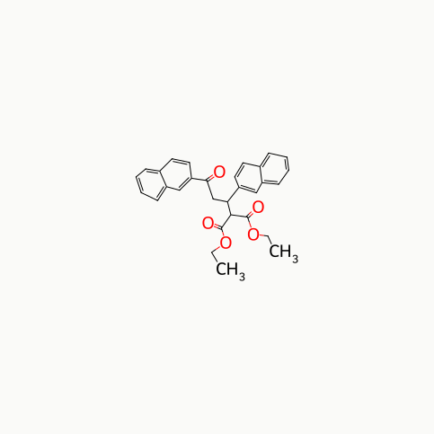 CCOC(=O)C(C(=O)OCC)C(CC(=O)c1ccc2ccccc2c1)c1ccc2ccccc2c1